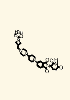 CC(C)(C)OC(=O)N1CC(CN2CCN(C3CCN(c4ccc5c(c4)C(=O)N(C4CCC(=O)NC4=O)C5=O)CC3)CC2)C1